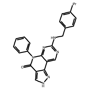 CC(C)c1ccc(CNc2ncc3c4n[nH]cc4c(=O)n(-c4ccccc4)c3n2)cc1